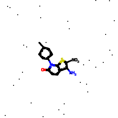 Cc1ccc(-n2c(=O)ccc3c(N)c([N+](=O)[O-])sc32)cc1